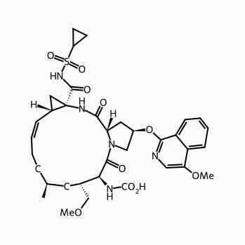 COC[C@@H]1C[C@@H](C)CC/C=C\[C@@H]2C[C@@]2(C(=O)NS(=O)(=O)C2CC2)NC(=O)[C@@H]2C[C@@H](Oc3ncc(OC)c4ccccc34)CN2C(=O)[C@H]1NC(=O)O